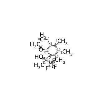 CCc1c(C)c(C)c(C)c(C(C)(O)C(F)(F)F)c1OC